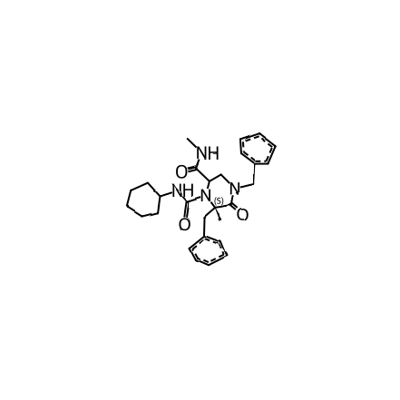 CNC(=O)C1CN(Cc2ccccc2)C(=O)[C@](C)(Cc2ccccc2)N1C(=O)NC1CCCCC1